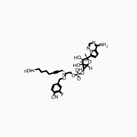 CCCCCCCCCCCCCCC#CC[C@H](COP(=O)(O)OC1[C@H]2O[C@@](C)(c3ccc4c(N)ncnn34)[C@H](O)[C@@]12O)OCc1ccc(C#N)c(F)c1